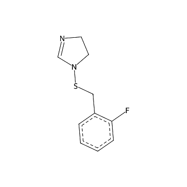 Fc1ccccc1CSN1C=NCC1